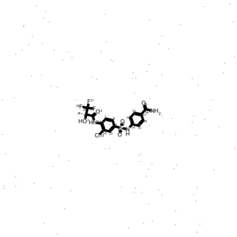 C[C@@](O)(C(=O)Nc1ccc(S(=O)(=O)Nc2ccc(C(N)=O)cc2)cc1Cl)C(F)(F)F